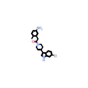 Cc1ccc(N)cc1CC(=O)N1CC=C(c2c[nH]c3cc(Cl)ccc23)CC1